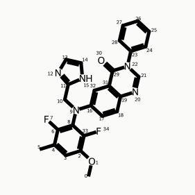 COc1cc(C)c(F)c(N(Cc2ncc[nH]2)c2ccc3ncn(-c4ccccc4)c(=O)c3c2)c1F